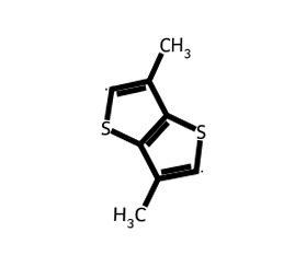 Cc1[c]sc2c(C)[c]sc12